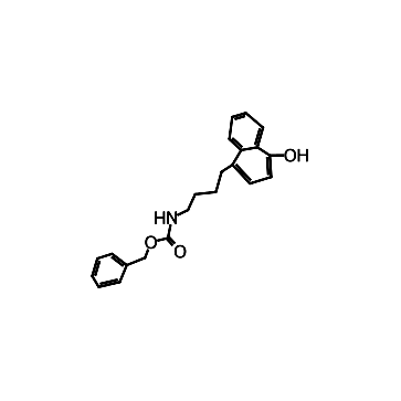 O=C(NCCCCc1ccc(O)c2ccccc12)OCc1ccccc1